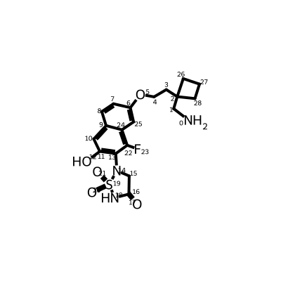 NCC1(CCOc2ccc3cc(O)c(N4CC(=O)NS4(=O)=O)c(F)c3c2)CCC1